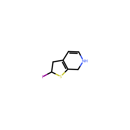 IC1CC2=C(CNC=C2)S1